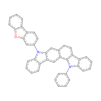 c1ccc(-n2c3ccccc3c3ccc4cc5c(cc4c32)c2ccccc2n5-c2ccc3c(c2)oc2ccccc23)cc1